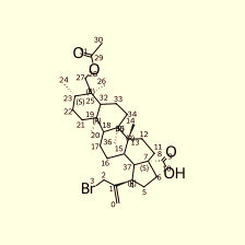 C=C(CBr)[C@@H]1CC[C@]2(C(=O)O)CC[C@]3(C)C(CCC4[C@@]5(C)CC[C@H](C)[C@@](C)(COC(C)=O)C5CC[C@]43C)C12